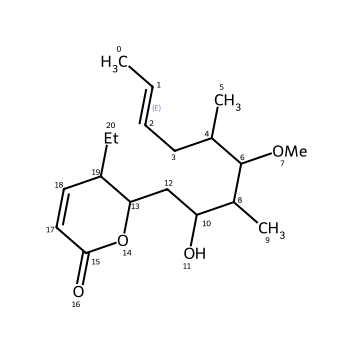 C/C=C/CC(C)C(OC)C(C)C(O)CC1OC(=O)C=CC1CC